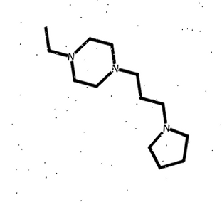 CCN1CCN(CCCN2CCCC2)CC1